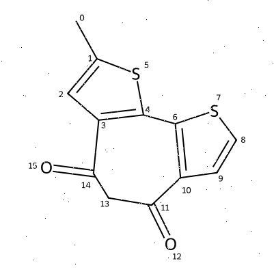 Cc1cc2c(s1)-c1sccc1C(=O)CC2=O